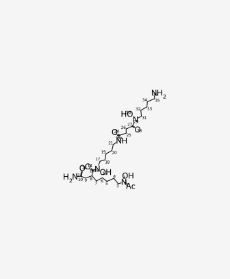 CC(=O)N(O)CCCCCC(CC(N)=O)C(=O)N(O)CCCCCNC(=O)CCC(=O)N(O)CCCCCN